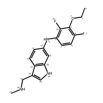 CCOc1c(F)ccc(Nc2ccc3c(CNC)c[nH]c3c2)c1F